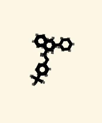 FC(F)(F)c1ccc(CNc2nc(N3CCCCC3)nc3ccccc23)cc1